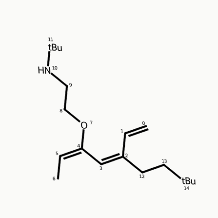 C=C/C(=C\C(=C/C)OCCNC(C)(C)C)CCC(C)(C)C